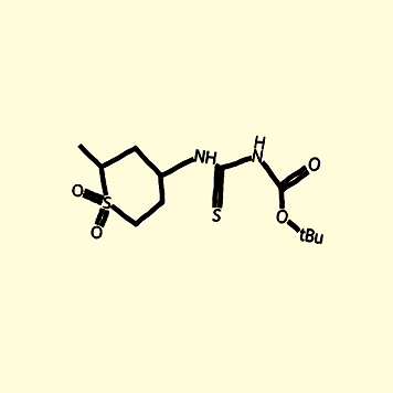 CC1CC(NC(=S)NC(=O)OC(C)(C)C)CCS1(=O)=O